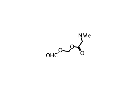 CNCC(=O)OCOC=O